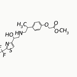 COC(=O)COc1ccc(C(C)CNCC(O)c2csc(C(F)(F)F)n2)cc1